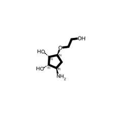 N[C@@H]1C[C@H](OCCO)[C@@H](O)[C@H]1O